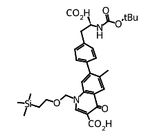 Cc1cc2c(=O)c(C(=O)O)cn(COCC[Si](C)(C)C)c2cc1-c1ccc(C[C@H](NC(=O)OC(C)(C)C)C(=O)O)cc1